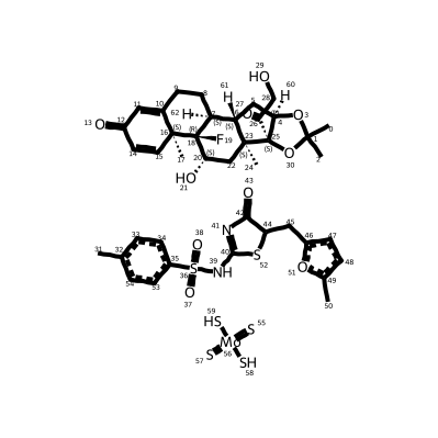 CC1(C)O[C@@H]2C[C@H]3[C@@H]4CCC5=CC(=O)C=C[C@]5(C)[C@@]4(F)[C@@H](O)C[C@]3(C)[C@]2(C(=O)CO)O1.Cc1ccc(S(=O)(=O)NC2=NC(=O)C(Cc3ccc(C)o3)S2)cc1.[S]=[Mo](=[S])([SH])[SH]